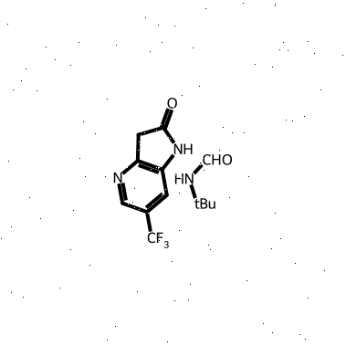 CC(C)(C)NC=O.O=C1Cc2ncc(C(F)(F)F)cc2N1